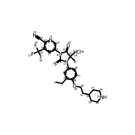 CCc1cc(N2C(=S)N(c3cnc(C#N)c(C(F)(F)F)c3)C(=O)C2(C)C)ccc1OCCC1CCNCC1.Cl